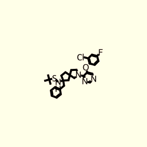 CC(C)(C)SNC1(Cc2ccccc2)CCC2(CCN(c3ncncc3Oc3ccc(F)cc3Cl)C2)C1